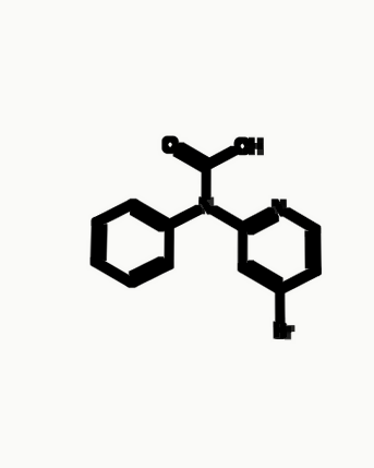 O=C(O)N(c1ccccc1)c1cc(Br)ccn1